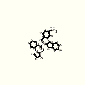 O=C(c1ccccc1-n1cccc1)N(Cc1ccc(C(F)(F)F)cc1)C1Cc2ccccc2C1